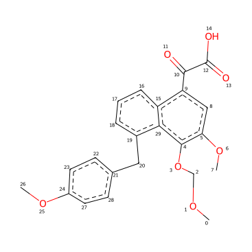 COCOc1c(OC)cc(C(=O)C(=O)O)c2cccc(Cc3ccc(OC)cc3)c12